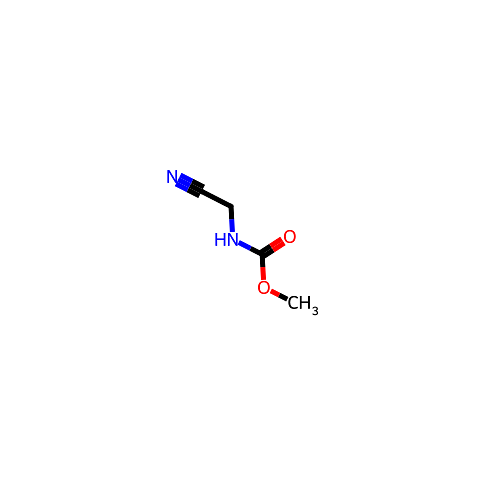 COC(=O)NCC#N